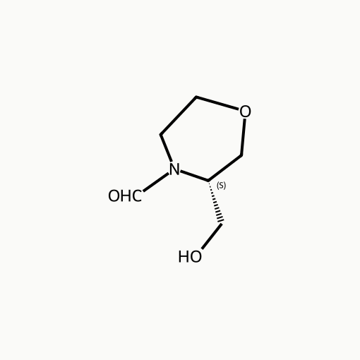 O=CN1CCOC[C@@H]1CO